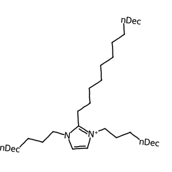 CCCCCCCCCCCCCCCCCCc1n(CCCCCCCCCCCCC)cc[n+]1CCCCCCCCCCCCC